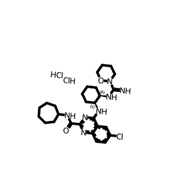 Cl.Cl.N=C(N[C@@H]1CCCC[C@@H]1Nc1nc(C(=O)NC2CCCCCC2)nc2ccc(Cl)cc12)N1CCCCO1